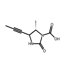 CC#CC1NC(=O)N(C(=O)O)[C@H]1C